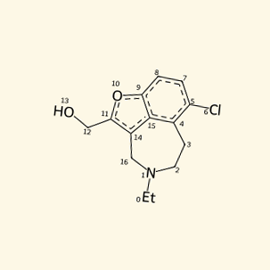 CCN1CCc2c(Cl)ccc3oc(CO)c(c23)C1